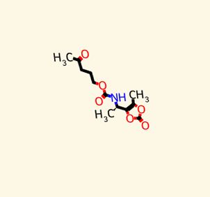 CC(=O)CCCOC(=O)N[C@@H](C)c1oc(=O)oc1C